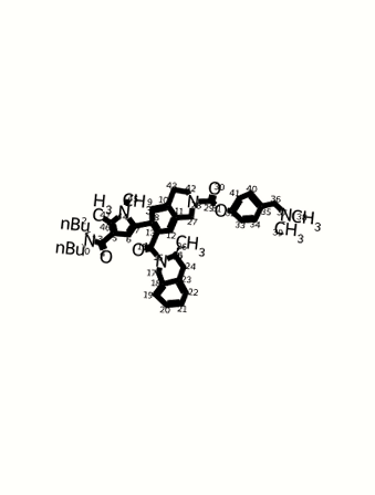 CCCCN(CCCC)C(=O)c1cc(-c2cc3c(cc2C(=O)N2Cc4ccccc4C[C@H]2C)CN(C(=O)Oc2ccc(CN(C)C)cc2)CC3)n(C)c1C